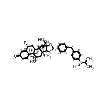 CC(C)N(C)c1ccc(Cc2ccc([C@H]3O[C@@H]4C[C@H]5[C@@H]6C[C@H](F)C7=CC(=O)C=C[C@]7(C)[C@@]6(F)[C@@H](O)C[C@]5(C)[C@]4(C(=O)CO)O3)cc2)cc1